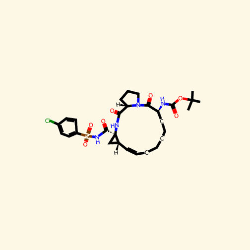 CC(C)(C)OC(=O)N[C@H]1CCCCC/C=C\[C@@H]2C[C@@]2(C(=O)NS(=O)(=O)c2ccc(Cl)cc2)NC(=O)[C@@H]2CCCN2C1=O